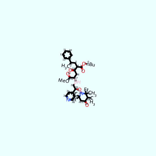 CCCCOC(=O)C(CC(C)c1ccccc1)C(=O)CC(BCC(ON1C(C)(CC)CC(=O)C(C)C1(C)CC)c1ccncc1)C(=O)OC